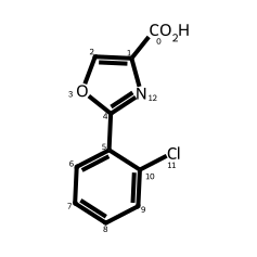 O=C(O)c1coc(-c2ccccc2Cl)n1